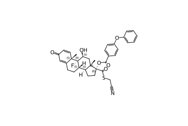 C[C@]12C=CC(=O)C=C1CC[C@H]1[C@@H]3CC[C@](OC(=O)c4ccc(Oc5ccccc5)cc4)(C(=O)SCC#N)[C@@]3(C)C[C@H](O)[C@@]12F